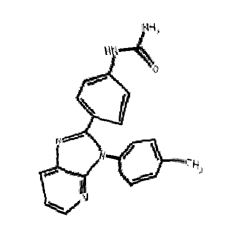 Cc1ccc(-n2c(-c3ccc(NC(N)=O)cc3)nc3cccnc32)cc1